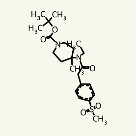 CCN(C(=O)Cc1ccc(S(C)(=O)=O)cc1)C1(C)CCN(C(=O)OC(C)(C)C)CC1